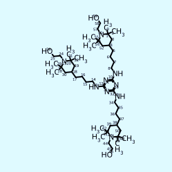 CC1(C)CC(CCCCNc2nc(NCCCCC3CC(C)(C)N(CCO)C(C)(C)C3)nc(NCCCCC3CC(C)(C)N(CCO)C(C)(C)C3)n2)CC(C)(C)N1CCO